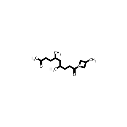 CC(=O)CCC(C)CC(C)CCC(=O)N1CC(C)C1